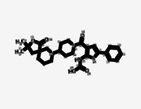 CC1(C)CC2(CCCN(C3CCN(C(=O)c4cc(-c5ccccc5)sc4NC(=O)O)CC3)C2)C(=O)O1